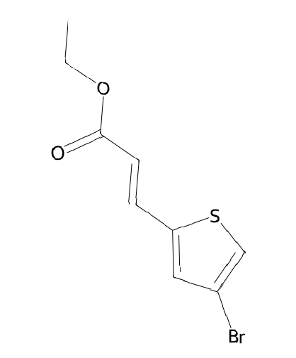 CCOC(=O)/C=C/c1cc(Br)cs1